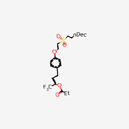 CCCCCCCCCCCCS(=O)(=O)CCOc1ccc(CC=C(OC(=O)CC)C(F)(F)F)cc1